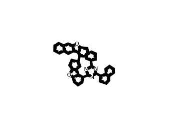 c1ccc(-c2nc(-c3cccc4ccccc34)nc(-c3cccc4oc5ccc(-c6cccc7oc8cc9ccccc9cc8c67)cc5c34)n2)cc1